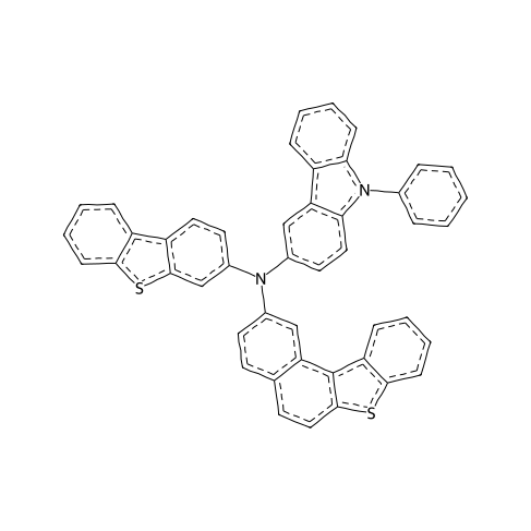 c1ccc(-n2c3ccccc3c3cc(N(c4ccc5c(c4)sc4ccccc45)c4ccc5ccc6sc7ccccc7c6c5c4)ccc32)cc1